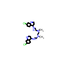 CN(CCNc1ccnc2cc(Cl)ccc12)CCN(C)CCNc1ccnc2cc(Cl)ccc12